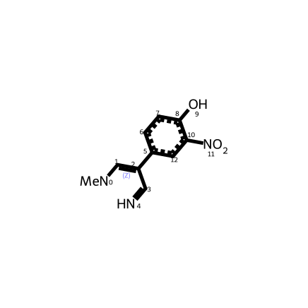 CN/C=C(\C=N)c1ccc(O)c([N+](=O)[O-])c1